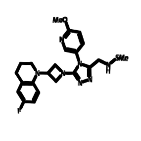 COc1ccc(-n2c(CNSC)nnc2N2CC(N3CCCc4cc(F)ccc43)C2)cn1